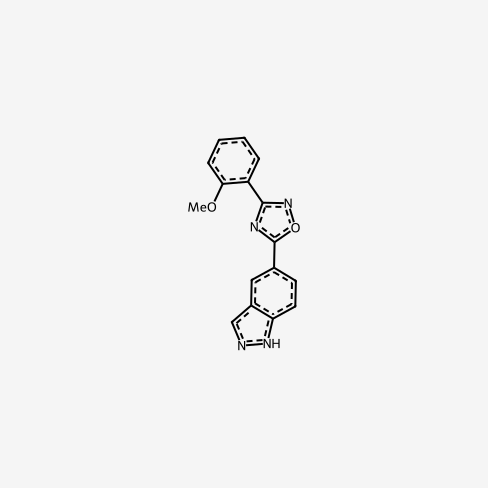 COc1ccccc1-c1noc(-c2ccc3[nH]ncc3c2)n1